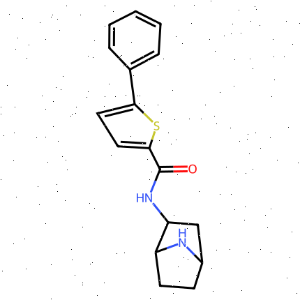 O=C(NC1CC2CCC1N2)c1ccc(-c2ccccc2)s1